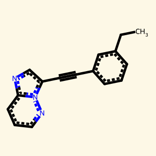 CCc1cccc(C#Cc2cnc3cccnn23)c1